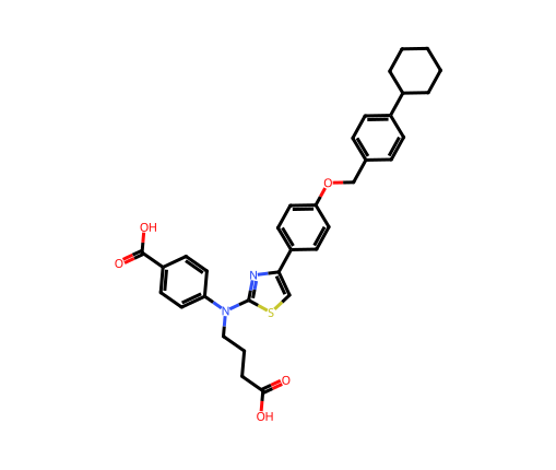 O=C(O)CCCN(c1ccc(C(=O)O)cc1)c1nc(-c2ccc(OCc3ccc(C4CCCCC4)cc3)cc2)cs1